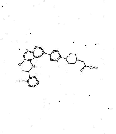 COC(=O)CN1CCN(c2ncc(-c3ccc4ncc(Cl)c(NC(C)c5ccccc5F)c4c3)cn2)CC1